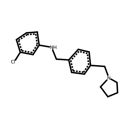 Clc1cccc(NCc2ccc(CN3CCCC3)cc2)c1